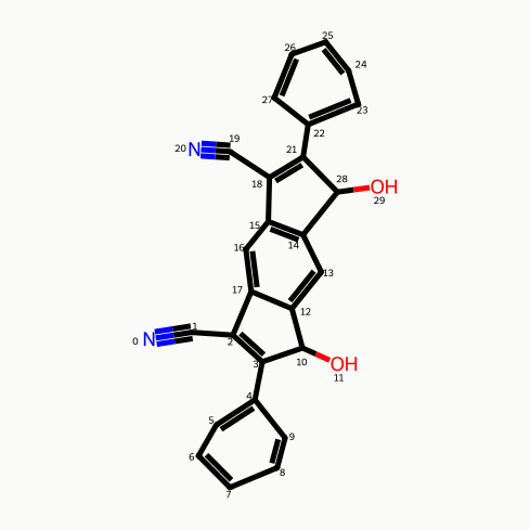 N#CC1=C(c2ccccc2)C(O)c2cc3c(cc21)C(C#N)=C(c1ccccc1)C3O